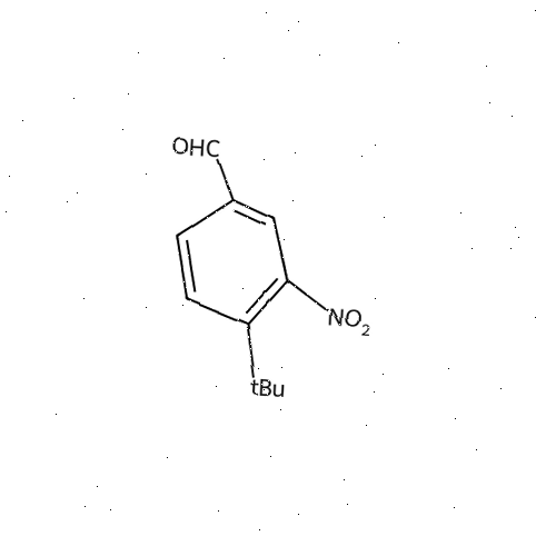 CC(C)(C)c1ccc(C=O)cc1[N+](=O)[O-]